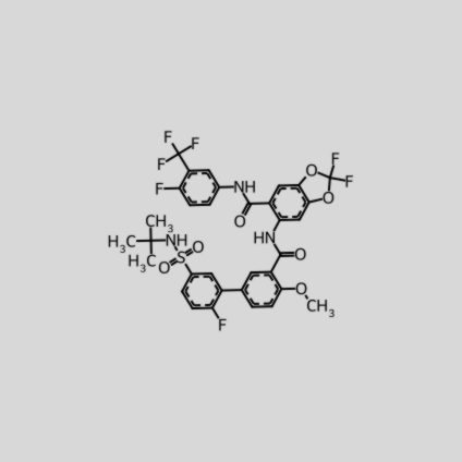 COc1ccc(-c2cc(S(=O)(=O)NC(C)(C)C)ccc2F)cc1C(=O)Nc1cc2c(cc1C(=O)Nc1ccc(F)c(C(F)(F)F)c1)OC(F)(F)O2